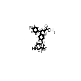 CC(=O)c1cc(-c2ccc(F)cc2)c2ccc(CN3CCNCC3C(F)(F)F)cc2n1